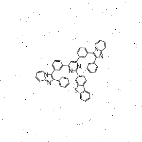 c1ccc(-c2nc3ccccn3c2-c2cccc(-c3cc(-c4cccc(-c5c(-c6ccccc6)nc6ccccn56)c4)nc(-c4ccc5c(c4)sc4ccccc45)n3)c2)cc1